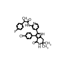 CC(C(=O)Nc1cc(-c2[nH]c3c(c2-c2ccc(Cl)cc2)C(=O)NC(C)(C)C3)ccn1)c1ccc(F)cc1